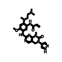 C=CC(=O)Nc1cc(Nc2ncc3c(n2)N(C)C(=O)N(c2cn[nH]c2)C3)c(OC)cc1N(C)CCN(C)C